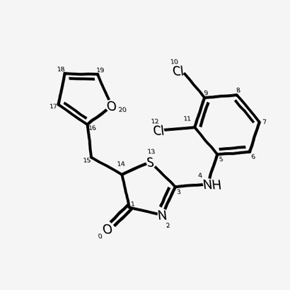 O=C1N=C(Nc2cccc(Cl)c2Cl)SC1Cc1ccco1